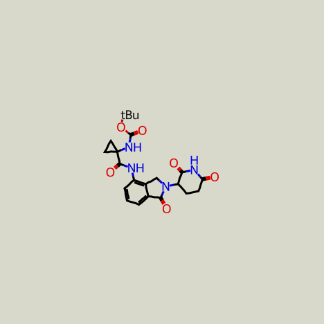 CC(C)(C)OC(=O)NC1(C(=O)Nc2cccc3c2CN(C2CCC(=O)NC2=O)C3=O)CC1